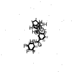 C[C@H](O)[C@@H](O)[C@@]1(O)[C@@H]2CC[C@H]1C[C@H](S(=O)(=O)c1cc(C(=O)Nc3cc(F)c(F)c(F)c3)ccc1F)C2